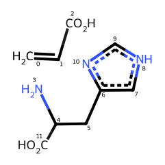 C=CC(=O)O.NC(Cc1c[nH]cn1)C(=O)O